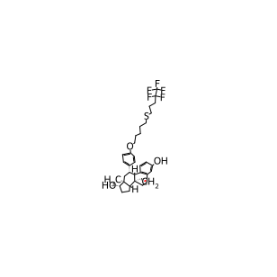 C=C[C@@]12CCc3cc(O)ccc3[C@H]1[C@@H](c1ccc(OCCCCCSCCCC(F)(F)C(F)(F)F)cc1)C[C@@]1(C)[C@H]2CC[C@@H]1O